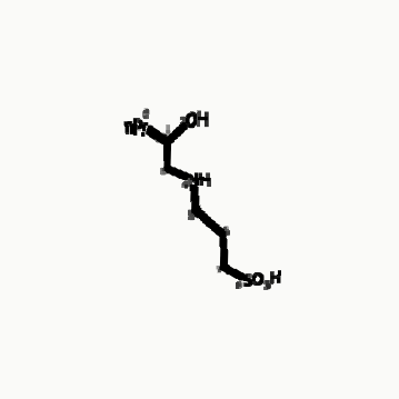 CCCC(O)CNCCCS(=O)(=O)O